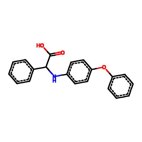 O=C(O)C(Nc1ccc(Oc2ccccc2)cc1)c1ccccc1